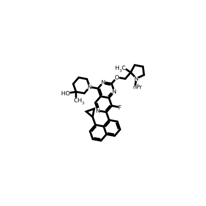 CCCN1CCCC1(C)COc1nc(N2CCCC(C)(O)C2)c2cnc(-c3cccc4cccc(C5CC5)c34)c(F)c2n1